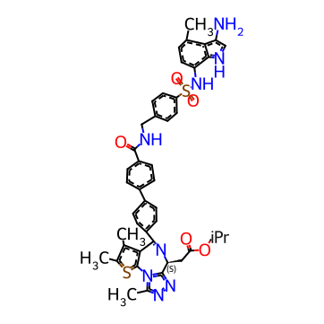 Cc1sc2c(c1C)C(c1ccc(-c3ccc(C(=O)NCc4ccc(S(=O)(=O)Nc5ccc(C)c6c(N)c[nH]c56)cc4)cc3)cc1)=N[C@@H](CC(=O)OC(C)C)c1nnc(C)n1-2